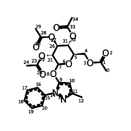 CC(=O)OC[C@H]1OC(Oc2cc(C)nn2-c2ccccc2)[C@H](OC(C)=O)[C@@H](OC(C)=O)[C@@H]1OC(C)=O